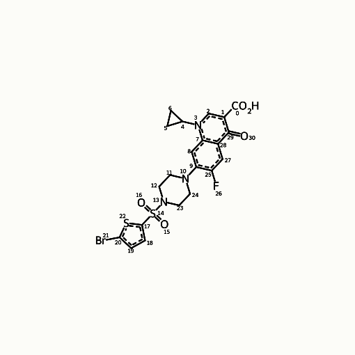 O=C(O)c1cn(C2CC2)c2cc(N3CCN(S(=O)(=O)c4ccc(Br)s4)CC3)c(F)cc2c1=O